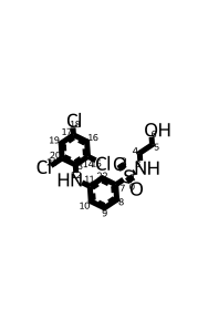 O=S(=O)(NCCO)c1cccc(Nc2c(Cl)cc(Cl)cc2Cl)c1